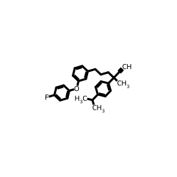 C#CC(C)(CCCc1cccc(Oc2ccc(F)cc2)c1)c1ccc(C(C)C)cc1